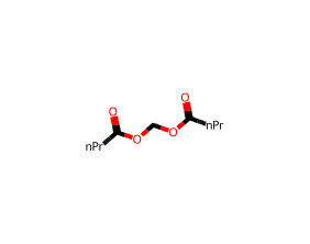 CCCC(=O)OCOC(=O)CCC